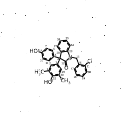 Cc1cc(C2(c3ccc(O)cc3)C(=O)N(Cc3ccccc3Cl)c3ccccc32)cc(C)c1O